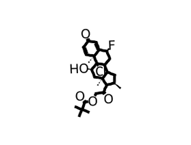 C[C@@H]1CC2C3C[C@H](F)C4=CC(=O)C=C[C@]4(C)[C@@]3(Cl)[C@@H](O)C[C@]2(C)C1C(=O)COC(=O)C(C)(C)C